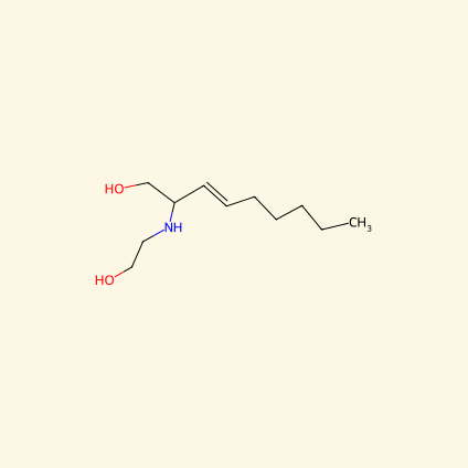 CCCCC/C=C/C(CO)NCCO